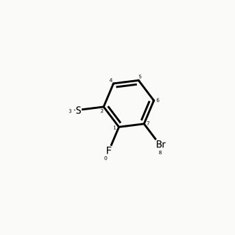 Fc1c([S])cccc1Br